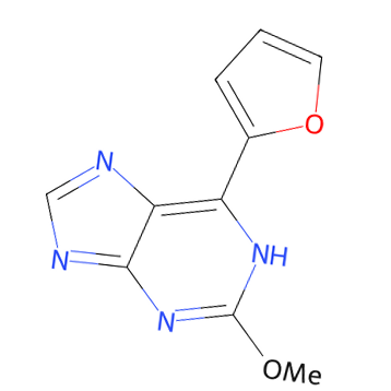 COc1nc2ncnc-2c(-c2ccco2)[nH]1